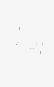 CCCOC(Br)(OCCC)[SiH2]C.[MgH2]